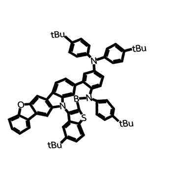 CC(C)(C)c1ccc(N2B3c4sc5ccc(C(C)(C)C)cc5c4-n4c5cc6c(cc5c5ccc(c3c54)-c3cc(N(c4ccc(C(C)(C)C)cc4)c4ccc(C(C)(C)C)cc4)ccc32)oc2ccccc26)cc1